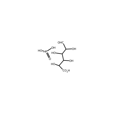 O=CC(O)C(O)C(O)C(O)C(=O)O.O=[PH](O)O